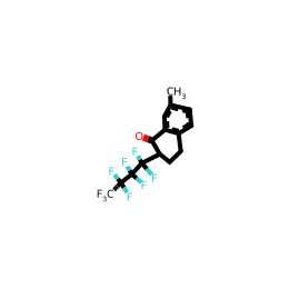 Cc1ccc2c(c1)C(=O)C(C(F)(F)C(F)(F)C(F)(F)C(F)(F)F)CC2